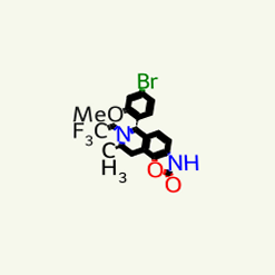 COc1cc(Br)ccc1[C@@H]1c2ccc3[nH]c(=O)oc3c2C[C@@H](C)N1CC(F)(F)F